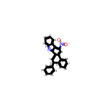 O=[N+]([O-])c1cc2c(c3c1-c1ccccc1N=3)=CC(c1ccccc1)c1ccccc1-2